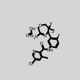 Cc1cc(Cl)cnc1C(=O)Nc1ccc(F)c([C@@]2(C)N=C(N)COCC2(F)F)c1.O=CO